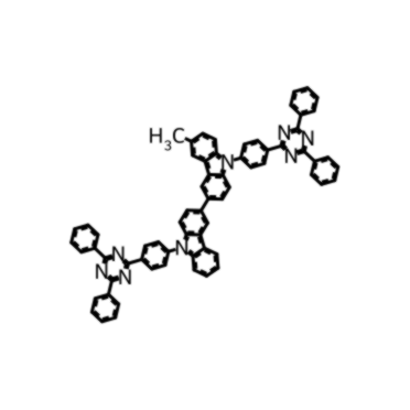 Cc1ccc2c(c1)c1cc(-c3ccc4c(c3)c3ccccc3n4-c3ccc(-c4nc(-c5ccccc5)nc(-c5ccccc5)n4)cc3)ccc1n2-c1ccc(-c2nc(-c3ccccc3)nc(-c3ccccc3)n2)cc1